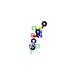 C[C@@H]1C[C@H](C(=O)c2cn(C)c3nc(SCc4ccccc4)c(Cl)cc23)CCN1c1ncc(F)cc1Cl